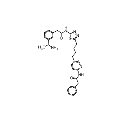 CC(N)c1cccc(CC(=O)Nc2nnc(CCCCc3ccc(NC(=O)Cc4ccccc4)nn3)s2)c1